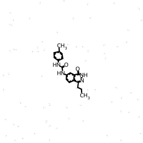 CCCc1n[nH]c(=O)c2cc(NC(=O)Nc3ccc(C)cc3)ccc12